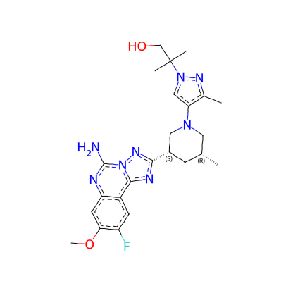 COc1cc2nc(N)n3nc([C@H]4C[C@@H](C)CN(c5cn(C(C)(C)CO)nc5C)C4)nc3c2cc1F